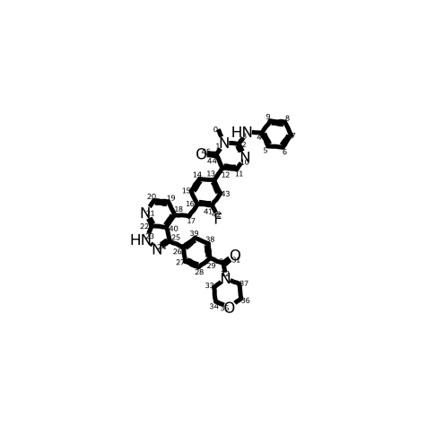 Cn1c(Nc2ccccc2)ncc(-c2ccc(Cc3ccnc4[nH]nc(-c5ccc(C(=O)N6CCOCC6)cc5)c34)c(F)c2)c1=O